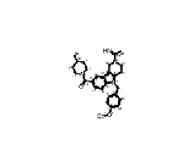 CCOc1ccc(Cn2c3c(c4cc(C(=O)N5CCC(C)CC5)ccc42)CN(C(C)=N)CC3)cc1